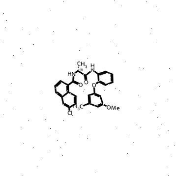 COc1cc(C)cc(Oc2ccccc2NC(=O)[C@@H](C)NC(=O)c2cccc3cc(Cl)ccc23)c1